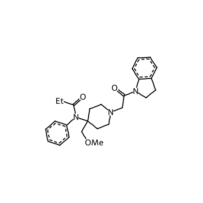 CCC(=O)N(c1ccccc1)C1(COC)CCN(CC(=O)N2CCc3ccccc32)CC1